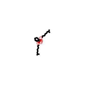 CC(C)CCCCCCOC(=O)C1(C(=O)OCCCCCCC(C)C)C=CCCC1